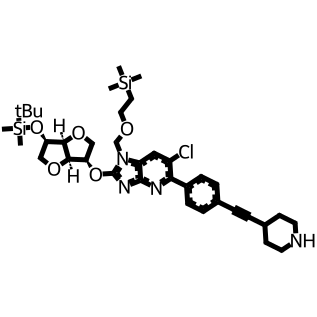 CC(C)(C)[Si](C)(C)O[C@@H]1CO[C@H]2[C@@H]1OC[C@H]2Oc1nc2nc(-c3ccc(C#CC4CCNCC4)cc3)c(Cl)cc2n1COCC[Si](C)(C)C